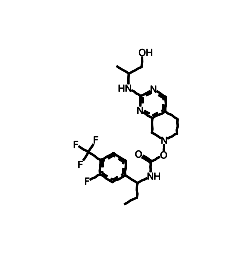 CCC(NC(=O)ON1CCc2cnc(NC(C)CO)nc2C1)c1ccc(C(F)(F)F)c(F)c1